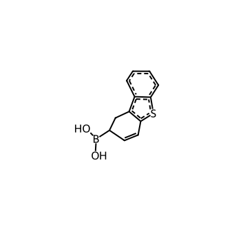 OB(O)C1C=Cc2sc3ccccc3c2C1